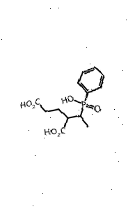 CC(C(CCC(=O)O)C(=O)O)P(=O)(O)c1ccccc1